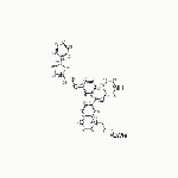 COCCCN1CCOc2ccc(COC3CNCCC3c3ccc(OCCN4CCC(c5ccccc5)C4)cc3)cc21